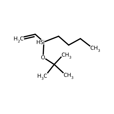 C=C[SiH](CCCC)OC(C)(C)C